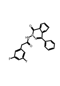 O=C(Cc1cc(F)cc(F)c1)Nn1nc(-c2ccccc2)c2ccccc2c1=O